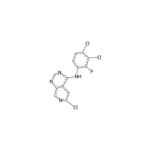 Fc1c(Nc2ncnc3cnc(Cl)cc23)ccc(Cl)c1Cl